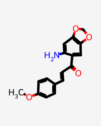 COc1ccc(C=CC(=O)c2cc3c(cc2N)OCO3)cc1